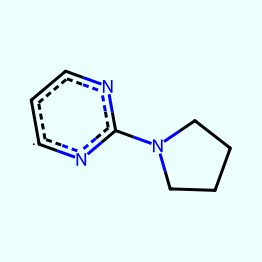 [c]1ccnc(N2CCCC2)n1